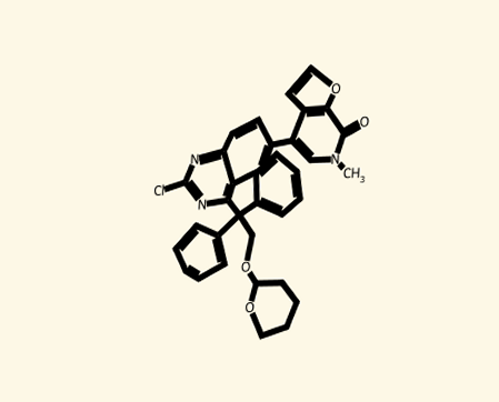 Cn1cc(-c2ccc3nc(Cl)nc(C(COC4CCCCO4)(c4ccccc4)c4ccccc4)c3c2)c2ccoc2c1=O